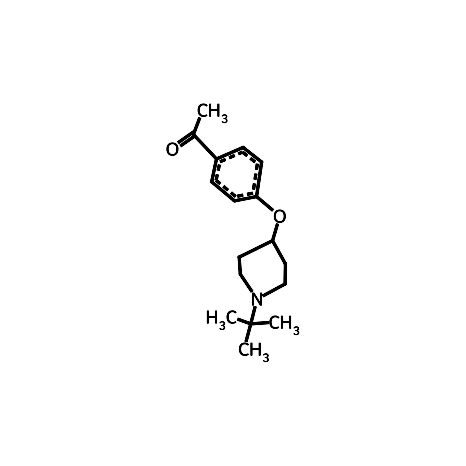 CC(=O)c1ccc(OC2CCN(C(C)(C)C)CC2)cc1